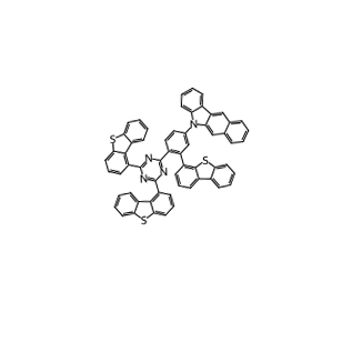 c1ccc2cc3c(cc2c1)c1ccccc1n3-c1ccc(-c2nc(-c3cccc4sc5ccccc5c34)nc(-c3cccc4sc5ccccc5c34)n2)c(-c2cccc3c2sc2ccccc23)c1